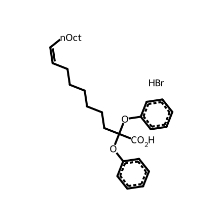 Br.CCCCCCCC/C=C\CCCCCCC(Oc1ccccc1)(Oc1ccccc1)C(=O)O